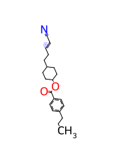 CCCc1ccc(C(=O)OC2CCC(CC/C=C/C#N)CC2)cc1